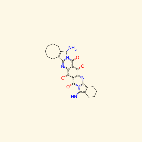 N=c1c2c(c3nc4c(=O)c5c(=O)n6c(nc5c(=O)c4c(=O)n13)C1=C(CCCCCC1)C6N)CCCC2